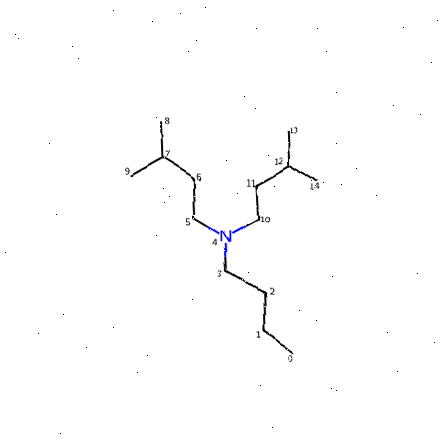 CCCCN(CCC(C)C)CCC(C)C